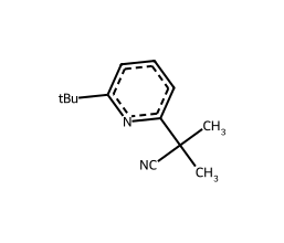 CC(C)(C)c1cccc(C(C)(C)C#N)n1